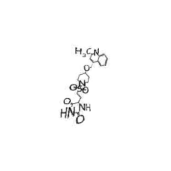 Cc1cc(COC2CCN(S(=O)(=O)CCC3NC(=O)NC3=O)CC2)c2ccccc2n1